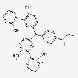 CCC(C)c1ccc(C(c2ccc(O)c(-c3ccccc3O)c2)c2ccc(O)c(-c3ccccc3O)c2)cc1